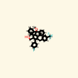 CC(C)c1c(Cc2ccc(C(F)(F)F)cc2)c(-c2ccc(F)cc2)c(CO)c(C(C)(C)C)c1C(O[SiH3])(c1ccccc1)c1ccccc1